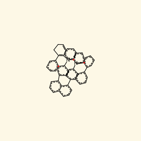 C1=CC(N(c2ccccc2)c2ccc(-c3cccc4cccc(-c5ccc(N(c6ccccc6)c6ccccc6-c6ccccc6)cc5)c34)cc2)=C(c2ccccc2)CC1